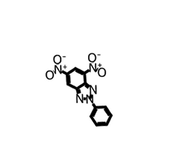 O=[N+]([O-])c1cc([N+](=O)[O-])c2nn(-c3ccccc3)nc2c1